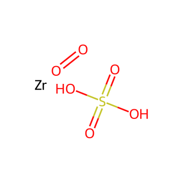 O=O.O=S(=O)(O)O.[Zr]